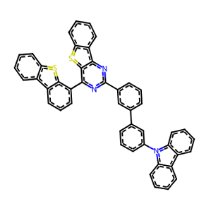 c1cc(-c2cccc(-n3c4ccccc4c4ccccc43)c2)cc(-c2nc(-c3cccc4c3sc3ccccc34)c3sc4ccccc4c3n2)c1